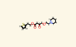 O=C(COCCN1CCCCC1)CC(=O)OCCc1cccs1